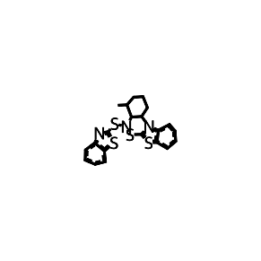 CC1CCCC(C)C1N(Sc1nc2ccccc2s1)Sc1nc2ccccc2s1